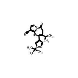 CC(C)C1=C(c2cnn(C(C)(C)C)c2)Nc2c(C#N)cnn2C(=O)C1